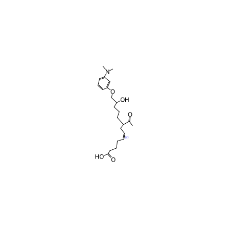 CC(=O)C(C/C=C\CCCC(=O)O)CCCC(O)COc1cccc(N(C)C)c1